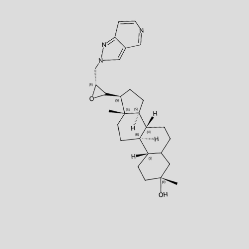 C[C@@]1(O)CC[C@H]2C(CC[C@@H]3[C@@H]2CC[C@]2(C)[C@@H](C4O[C@@H]4Cn4cc5cnccc5n4)CC[C@@H]32)C1